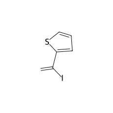 C=C(I)c1cccs1